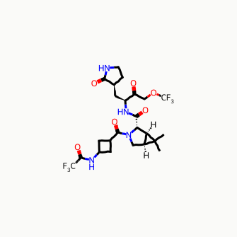 CC1(C)[C@@H]2[C@@H](C(=O)N[C@@H](C[C@@H]3CCNC3=O)C(=O)COC(F)(F)F)N(C(=O)C3CC(NC(=O)C(F)(F)F)C3)C[C@@H]21